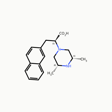 C[C@@H]1CN([C@@H](Cc2ccc3ccccc3c2)C(=O)O)C[C@H](C)N1